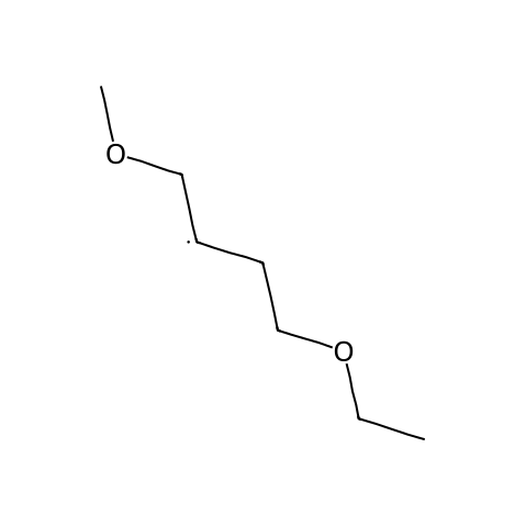 CCOCC[CH]COC